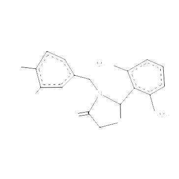 COc1cccc(OC)c1C1SCC(=O)N1Cc1ccc(C(F)(F)F)c(F)c1